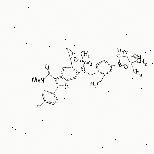 CNC(=O)c1c(-c2ccc(F)cc2)oc2cc(N(Cc3ccc(B4OC(C)(C)C(C)(C)O4)cc3C)S(C)(=O)=O)c(C3CC3)cc12